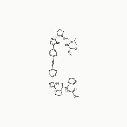 COC(=O)N[C@@H](C(=O)N1CCC[C@H]1c1ncc(-c2ccc(C#Cc3ccc(-c4cnc([C@@H]5CCCN5OC[C@@H](NC(=O)OC)C(C)C)[nH]4)cc3)cc2)[nH]1)c1ccccc1